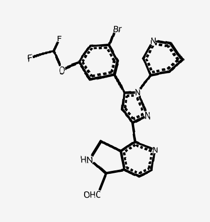 O=CC1NCc2c1ccnc2-c1cc(-c2cc(Br)cc(OC(F)F)c2)n(-c2cccnc2)n1